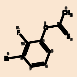 CC(=S)Oc1cccc(Br)c1F